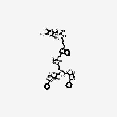 N=C(NCCCCc1ccc(CC[C@H](NCCCN(C[C@H](O)[C@@H](O)[C@@H]2OC(c3ccccc3)OC[C@H]2O)C[C@H](O)[C@@H](O)[C@@H]2OC(c3ccccc3)OC[C@H]2O)C(N)=O)c2ccccc12)NC(=O)c1nc(Cl)c(N)nc1N